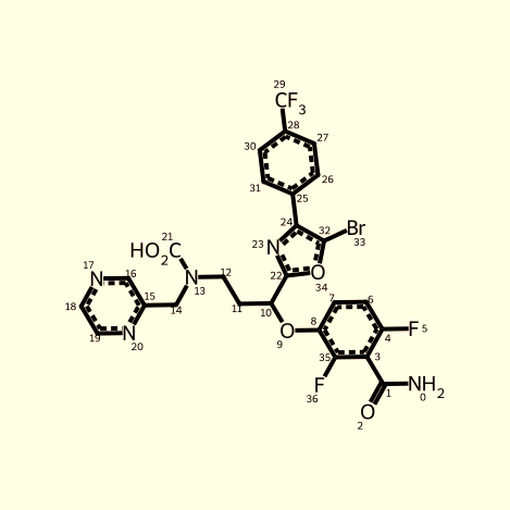 NC(=O)c1c(F)ccc(OC(CCN(Cc2cnccn2)C(=O)O)c2nc(-c3ccc(C(F)(F)F)cc3)c(Br)o2)c1F